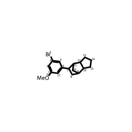 COc1cc(Br)cc(C2CC3CC2C2CCCC32)c1